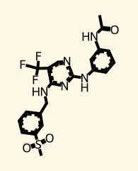 CC(=O)Nc1cccc(Nc2ncc(C(F)(F)F)c(NCc3cccc(S(C)(=O)=O)c3)n2)c1